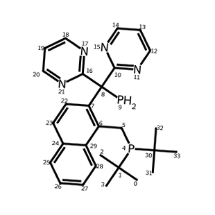 CC(C)(C)P(Cc1c(C(P)(c2ncccn2)c2ncccn2)ccc2ccccc12)C(C)(C)C